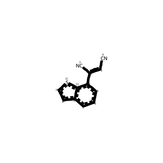 N#C/C=C(\C#N)c1cccc2ccsc12